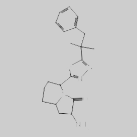 CC(C)(Cc1ccccc1)c1nnc(C2CCCC3CC(N)C(=O)N32)o1